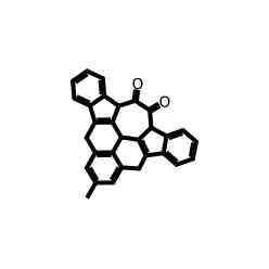 Cc1cc2c3c(c1)CC1=C4C(C(=O)C(=O)C5C(=C(C2)c2ccccc25)C43)c2ccccc21